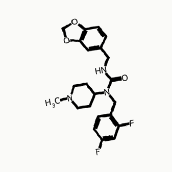 CN1CCC(N(Cc2ccc(F)cc2F)C(=O)NCc2ccc3c(c2)OCO3)CC1